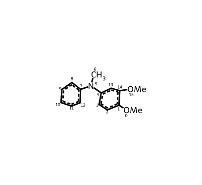 COc1ccc(N(C)c2ccccc2)cc1OC